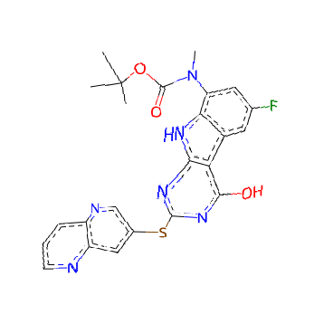 CN(C(=O)OC(C)(C)C)c1cc(F)cc2c1[nH]c1nc(Sc3cnc4cccnc4c3)nc(O)c12